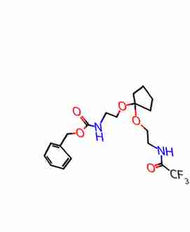 O=C(NCCOC1(OCCNC(=O)C(F)(F)F)CCCC1)OCc1ccccc1